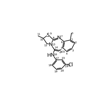 Cc1ccccc1/N=C1/SC(C)CN1C(=S)Nc1cccc(Cl)c1